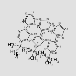 CC(C)(C)c1ccc(-c2ccccn2)cc1.CC(C)(C)c1ccc(-c2ccccn2)cc1.CC(C)(C)c1ccc(-c2ccccn2)cc1.[Ir]